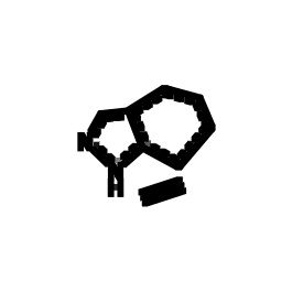 C#C.c1ccc2[nH]ncc2c1